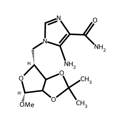 CO[C@@H]1O[C@H](Cn2cnc(C(N)=O)c2N)C2OC(C)(C)OC21